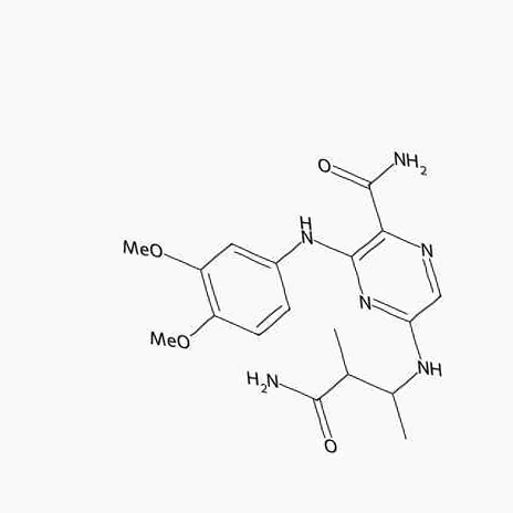 COc1ccc(Nc2nc(NC(C)C(C)C(N)=O)cnc2C(N)=O)cc1OC